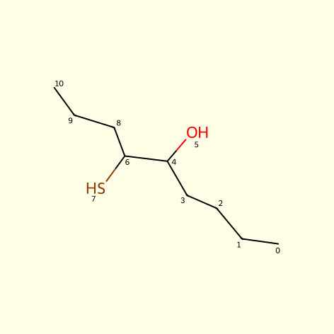 CCCCC(O)C(S)CCC